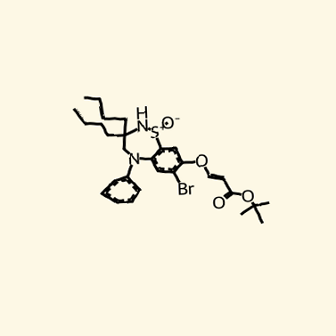 CCCCC1(CCCC)CN(c2ccccc2)c2cc(Br)c(O/C=C/C(=O)OC(C)(C)C)cc2[S+]([O-])N1